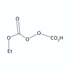 CCOC(=O)OOC(=O)O